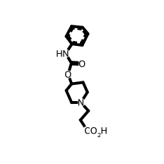 O=C(O)CCN1CCC(OC(=O)Nc2ccccc2)CC1